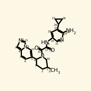 CC1CCC(c2ccc3cncn3c2)N(C(=O)C(=O)Nc2cnc(N)c(C3CC3)c2)C1